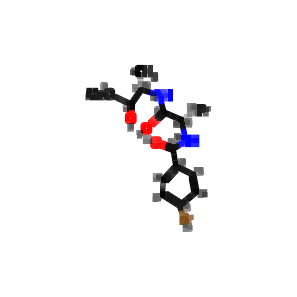 COC(=O)[C@H](C)NC(=O)[C@@H](NC(=O)c1ccc(Br)cc1)C(C)C